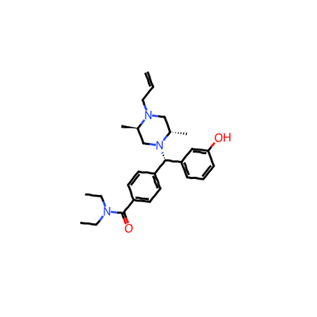 C=CCN1C[C@H](C)N([C@@H](c2ccc(C(=O)N(CC)CC)cc2)c2cccc(O)c2)C[C@H]1C